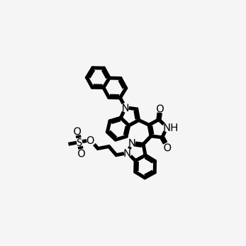 CS(=O)(=O)OCCCn1nc(C2=C(c3cn(-c4ccc5ccccc5c4)c4ccccc34)C(=O)NC2=O)c2ccccc21